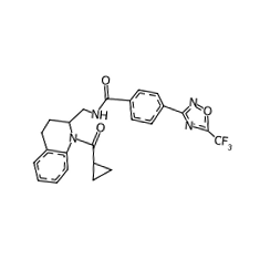 O=C(NCC1CCc2ccccc2N1C(=O)C1CC1)c1ccc(-c2noc(C(F)(F)F)n2)cc1